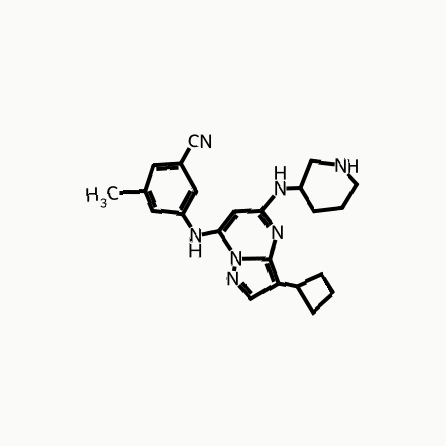 Cc1cc(C#N)cc(Nc2cc(NC3CCCNC3)nc3c(C4CCC4)cnn23)c1